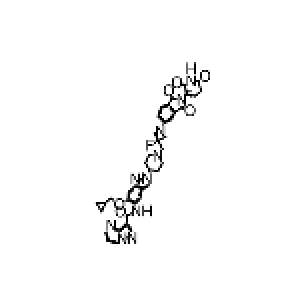 O=C1CC[C@H](N2C(=O)c3ccc(N4CC(F)(CN5CCC(n6cc7cc(NC(=O)c8cnn9cccnc89)c(OCC8CC8)cc7n6)CC5)C4)cc3C2=O)C(=O)N1